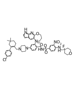 C[C@H]1CCOc2nc3[nH]ccc3cc2N1c1cc(N2CCN(CC3=C(c4ccc(Cl)cc4)CC(C)(C)CC3)CC2)ccc1C(=O)NS(=O)(=O)c1ccc(NCC2(F)CCOCC2)c([N+](=O)[O-])c1